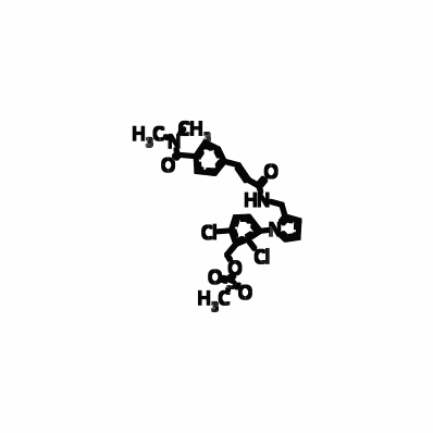 CN(C)C(=O)c1ccc(/C=C/C(=O)NCc2cccn2-c2ccc(Cl)c(COS(C)(=O)=O)c2Cl)cc1